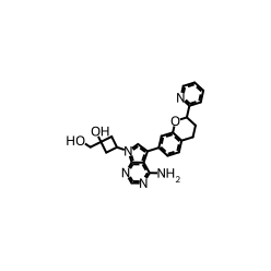 Nc1ncnc2c1c(-c1ccc3c(c1)OC(c1ccccn1)CC3)cn2C1CC(O)(CO)C1